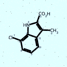 Cc1c(C(=O)O)[nH]c2c(Cl)cccc12